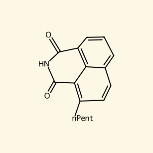 CCCCCc1ccc2cccc3c2c1C(=O)NC3=O